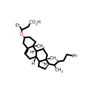 CCC(CC(=O)O)O[C@H]1CC[C@@]2(C)C(=CC[C@H]3[C@@H]4CC[C@H]([C@H](C)CCCC(C)C)[C@@]4(C)CC[C@@H]32)C1